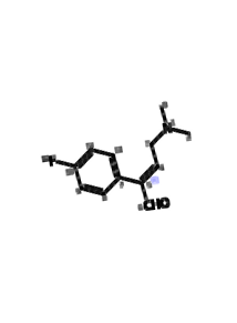 CN(C)C/C=C(/C=O)c1ccc(F)cc1